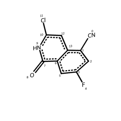 N#Cc1cc(F)cc2c(=O)[nH]c(Cl)cc12